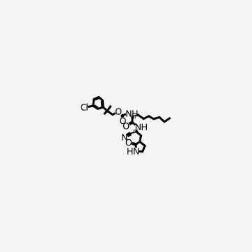 CCCCCCC[C@H](NC(=O)OCC(C)(C)c1cccc(Cl)c1)C(=O)N[C@H](C#N)CC1CCNC1=O